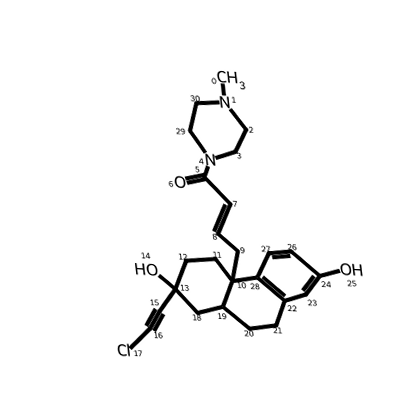 CN1CCN(C(=O)C=CCC23CCC(O)(C#CCl)CC2CCc2cc(O)ccc23)CC1